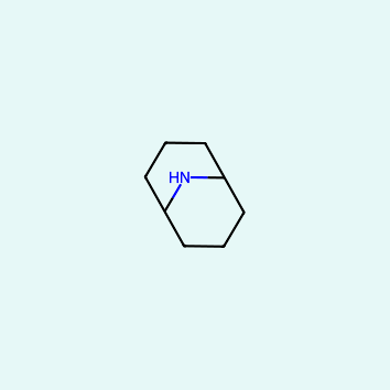 C1CC2CCCC(C1)N2